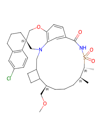 COC[C@@H]1CCC[C@H](C)[C@@H](C)S(=O)(=O)NC(=O)c2ccc3c(c2)N(CC2CCC21)C[C@@]1(CCCc2cc(Cl)ccc21)CO3